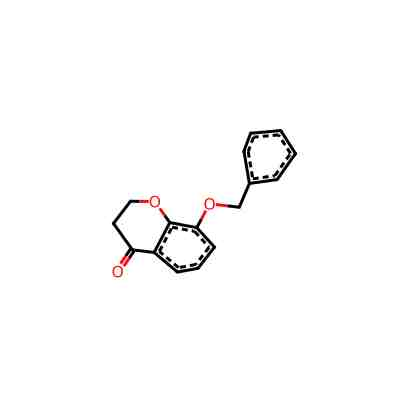 O=C1CCOc2c(OCc3ccccc3)cccc21